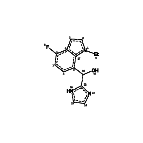 CCn1ccc2c(F)ccc(C(O)c3ncc[nH]3)c21